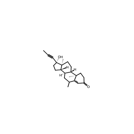 CC#C[C@]1(O)CC[C@H]2[C@@H]3CC(C)C4=CC(=O)CC[C@]4(C)[C@H]3CC[C@@]21C